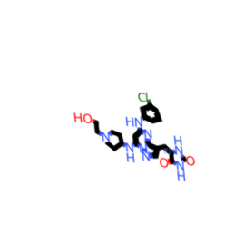 O=C1NC(=O)/C(=C\c2cnn3c(NC4CCN(CCO)CC4)cc(Nc4cccc(Cl)c4)nc23)N1